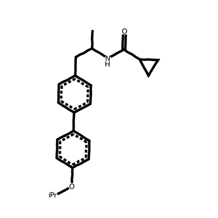 CC(Cc1ccc(-c2ccc(OC(C)C)cc2)cc1)NC(=O)C1CC1